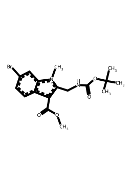 COC(=O)c1c(CNC(=O)OC(C)(C)C)n(C)c2cc(Br)ccc12